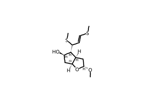 CO[C@H]1C[C@@H]2[C@@H](C(C=CSC)SC)[C@H](O)C[C@@H]2O1